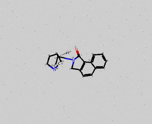 O=C1c2c(ccc3ccccc23)CN1[C@H]1CN2CCC1CC2